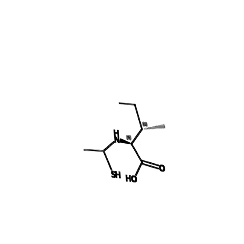 CC[C@H](C)[C@H](NC(C)S)C(=O)O